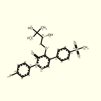 CC(C)(O)[C@H](O)COc1c(-c2ccc(S(C)(=O)=O)cc2)cnn(-c2ccc(F)cc2)c1=O